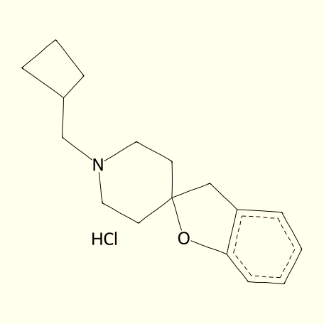 Cl.c1ccc2c(c1)CC1(CCN(CC3CCC3)CC1)O2